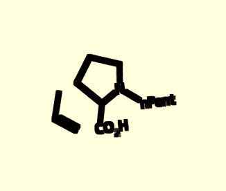 C=CC.CCCCCN1CCCC1C(=O)O